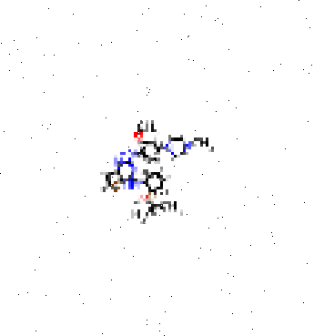 COc1cc(N2CCN(C)CC2)ccc1Nc1nc(Nc2ccccc2[S+]([O-])C(C)C)c2sccc2n1